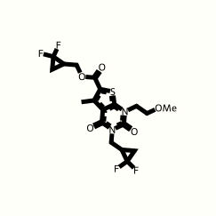 COCCn1c(=O)n(CC2CC2(F)F)c(=O)c2c(C)c(C(=O)OCC3CC3(F)F)sc21